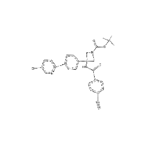 C#Cc1ccc(C(=O)NC2(c3ccc(-c4ccc(Cl)cn4)cc3)CN(C(=O)OC(C)(C)C)C2)cc1